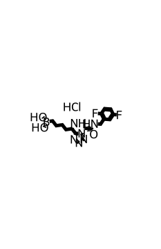 Cl.NC(CCCCB(O)O)c1nnnn1CC(=O)NCc1cc(F)ccc1F